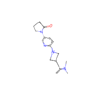 C=C(C1CN(c2ccc(N3CCCC3=O)cn2)C1)N(C)C